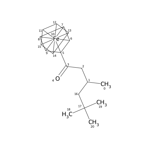 CC(CC(=O)[C]12[CH]3[CH]4[CH]5[CH]1[Fe]45321678[CH]2[CH]1[CH]6[CH]7[CH]28)CC(C)(C)C